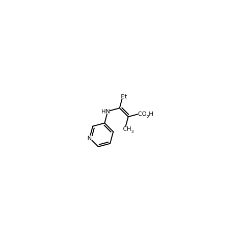 CCC(Nc1cccnc1)=C(C)C(=O)O